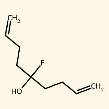 C=CCCC(O)(F)CCC=C